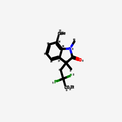 CCOC(=O)C(F)(F)CC1(C)C(=O)N(C)c2c(OC)cccc21